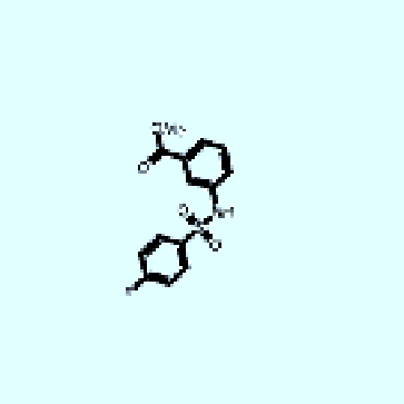 COC(=O)c1cccc(NS(=O)(=O)c2ccc(F)cc2)c1